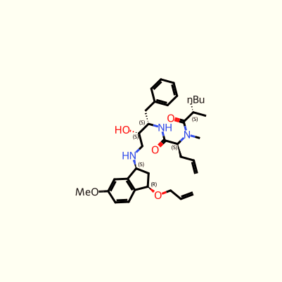 C=CCO[C@@H]1C[C@H](NC[C@H](O)[C@H](Cc2ccccc2)NC(=O)[C@H](CC=C)N(C)C(=O)[C@@H](C)CCCC)c2cc(OC)ccc21